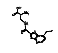 NC(CNC(=O)c1cc2nccc(CF)c2s1)C(=O)O